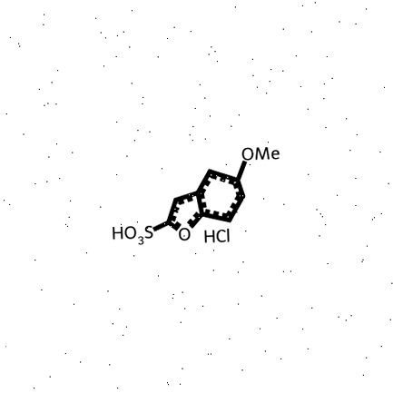 COc1ccc2oc(S(=O)(=O)O)cc2c1.Cl